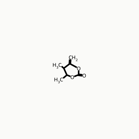 C=C1OC(=O)OC(C)C1C